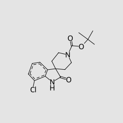 CC(C)(C)OC(=O)N1CCC2(CC1)C(=O)Nc1c(Cl)cccc12